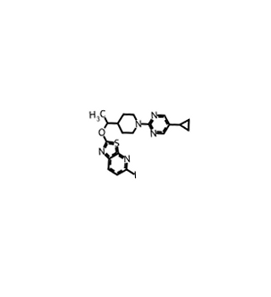 CC(Oc1nc2ccc(I)nc2s1)C1CCN(c2ncc(C3CC3)cn2)CC1